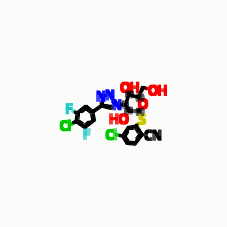 N#Cc1ccc(Cl)cc1S[C@H]1O[C@H](CO)[C@H](O)[C@H](n2cc(-c3cc(F)c(Cl)c(F)c3)nn2)[C@H]1O